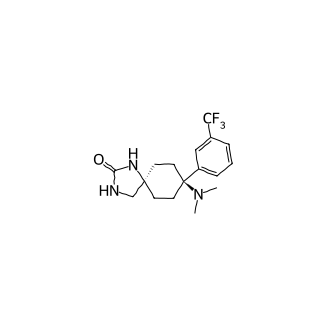 CN(C)[C@]1(c2cccc(C(F)(F)F)c2)CC[C@]2(CC1)CNC(=O)N2